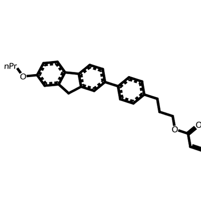 C=CC(=O)OCCCc1ccc(-c2ccc3c(c2)Cc2cc(OCCC)ccc2-3)cc1